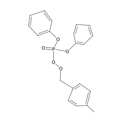 Cc1ccc(COOP(=O)(Oc2ccccc2)Oc2ccccc2)cc1